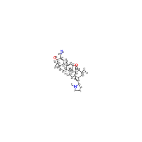 CN1CCCC1/C=C/[C@]12CCC3(CC3)C[C@H]1[C@H]1C(=O)C=C3[C@@]4(C)C=C(C#N)C(=O)C(C)(C)[C@@H]4CC[C@@]3(C)[C@]1(C)CC2